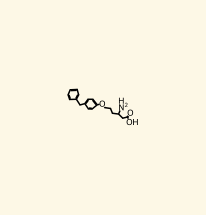 NC(CCCOc1ccc(Cc2ccccc2)cc1)CC(=O)O